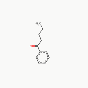 [CH2]CCCC(=O)c1ccccc1